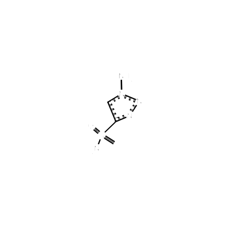 Nn1cc(S(N)(=O)=O)nn1